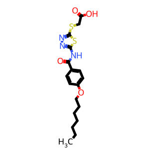 CCCCCCCOc1ccc(C(=O)Nc2nnc(SCC(=O)O)s2)cc1